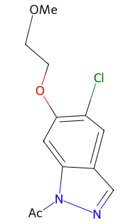 COCCOc1cc2c(cnn2C(C)=O)cc1Cl